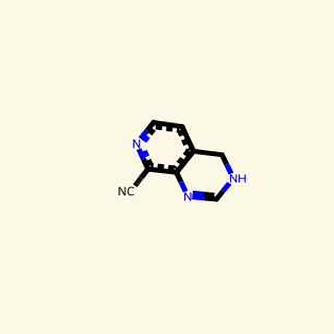 N#Cc1nccc2c1N=CNC2